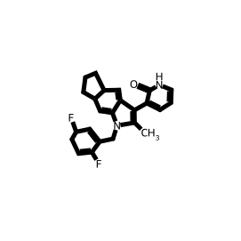 Cc1c(-c2ccc[nH]c2=O)c2c(n1CC1=CC(F)CC=C1F)=CC1CCCC1C=2